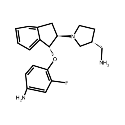 NC[C@H]1CCN([C@@H]2Cc3ccccc3[C@H]2Oc2ccc(N)cc2F)C1